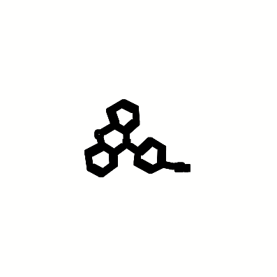 CC(C)(C)c1ccc(N2c3ccccc3Oc3ccccc32)cc1